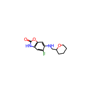 O=c1[nH]c2cc(F)c(NCC3CCCCO3)cc2o1